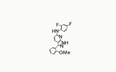 COc1ccccc1-c1n[nH]c2nc(Nc3ccc(F)cc3F)ccc12